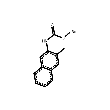 CC(C)(C)OC(=O)Nc1cc2ccccc2cc1I